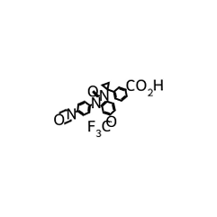 O=C(O)c1cccc(C2(n3c(=O)n(-c4ccc(N5CCOCC5)cc4)c4cc(OC(F)(F)F)ccc43)CC2)c1